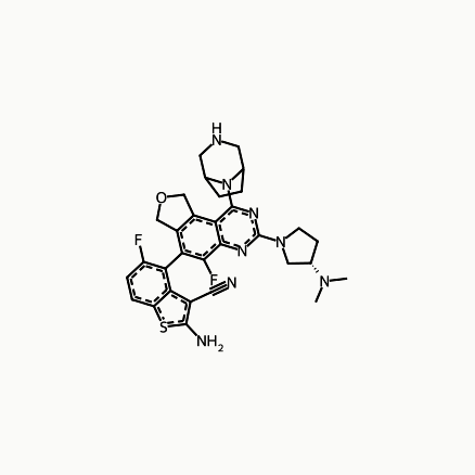 CN(C)[C@H]1CCN(c2nc(N3C4CCC3CNC4)c3c4c(c(-c5c(F)ccc6sc(N)c(C#N)c56)c(F)c3n2)COC4)C1